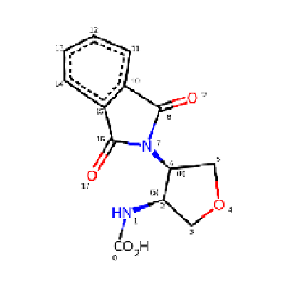 O=C(O)N[C@@H]1COC[C@@H]1N1C(=O)c2ccccc2C1=O